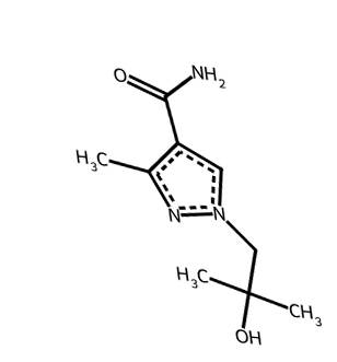 Cc1nn(CC(C)(C)O)cc1C(N)=O